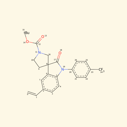 C=Cc1ccc2c(c1)C1(CCN(C(=O)OC(C)(C)C)C1)C(=O)N2c1ccc(C(F)(F)F)cc1